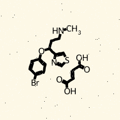 CNCCC(Oc1ccc(Br)cc1)c1cscn1.O=C(O)C=CC(=O)O